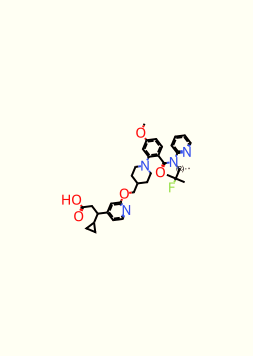 COc1ccc(C(=O)N(c2ccccn2)[C@H](C)C(C)(C)F)c(N2CCC(COc3cc(C(CC(=O)O)C4CC4)ccn3)CC2)c1